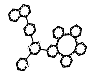 c1ccc(-c2cc(-c3ccc4c5ccccc5c5ccccc5c5ccccc5c5ccccc5c4c3)nc(-c3ccc(-c4cccc5ccccc45)cc3)n2)nc1